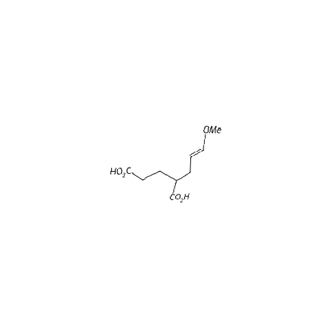 COC=CCC(CCC(=O)O)C(=O)O